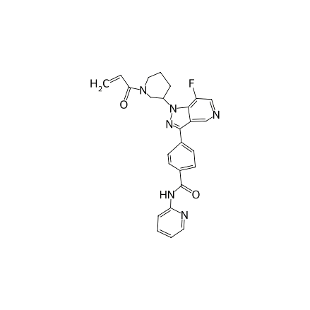 C=CC(=O)N1CCCC(n2nc(-c3ccc(C(=O)Nc4ccccn4)cc3)c3cncc(F)c32)C1